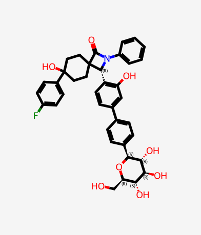 O=C1N(c2ccccc2)[C@H](c2ccc(-c3ccc([C@@H]4O[C@H](CO)[C@@H](O)[C@H](O)[C@H]4O)cc3)cc2O)C12CCC(O)(c1ccc(F)cc1)CC2